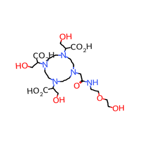 O=C(CN1CCN(C(CO)C(=O)O)CCN(C(CO)C(=O)O)CCN(C(CO)C(=O)O)CC1)NCCOCCO